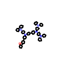 c1ccc(N(c2ccccc2)c2ccc(N(c3ccc(-c4ccc(N(c5ccc(-c6ccc7c(c6)oc6ccccc67)cc5)c5ccc(-n6c7ccccc7c7ccccc76)cc5)cc4)cc3)c3ccc(N(c4ccccc4)c4ccccc4)cc3)cc2)cc1